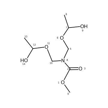 COC(=O)N(COC(C)O)COC(C)O